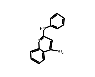 Nc1cc(Nc2ccccc2)nc2ccccc12